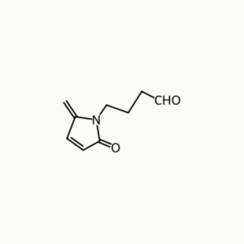 C=C1C=CC(=O)N1CCCC=O